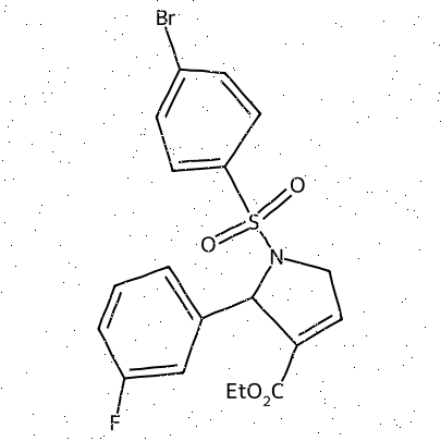 CCOC(=O)C1=CCN(S(=O)(=O)c2ccc(Br)cc2)C1c1cccc(F)c1